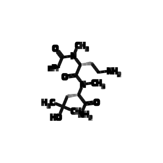 CCCC(=O)N(C)[C@H](CCN)C(=O)N(C)[C@@H](CC(C)(C)O)C(N)=O